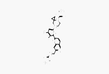 CC(C)(C)OC(=O)NCc1cc2nc(-c3nc(N4CCN(C(=O)OC(C)(C)C)C5(CC5)C4)cc(F)c3Cl)ccc2cn1